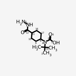 CC(C)(C)N(C(=O)O)C1CCC(C(=O)NN)CC1